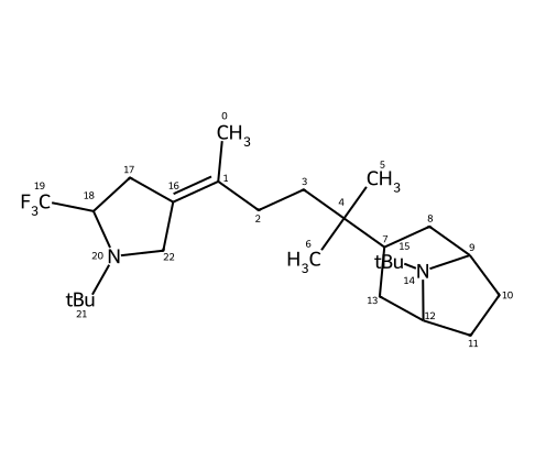 C/C(CCC(C)(C)C1CC2CCC(C1)N2C(C)(C)C)=C1\CC(C(F)(F)F)N(C(C)(C)C)C1